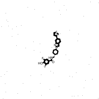 O=C(NC[C@H]1CC[C@H](n2cc3ccc(-c4ccsn4)cc3n2)CC1)c1cc(F)c(O)c(F)c1